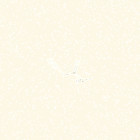 [C]#CCC(=O)NC